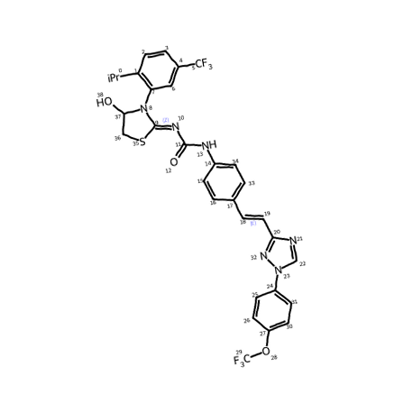 CC(C)c1ccc(C(F)(F)F)cc1N1/C(=N/C(=O)Nc2ccc(/C=C/c3ncn(-c4ccc(OC(F)(F)F)cc4)n3)cc2)SCC1O